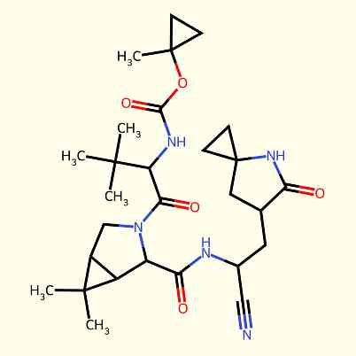 CC1(OC(=O)NC(C(=O)N2CC3C(C2C(=O)NC(C#N)CC2CC4(CC4)NC2=O)C3(C)C)C(C)(C)C)CC1